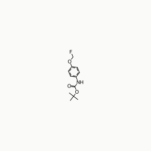 CC(C)(C)OC(=O)Nc1ccc(OCF)cc1